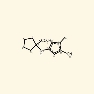 Cn1cc(NC2(C(=O)O)CCCC2)cc1C#N